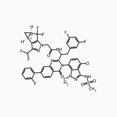 Cn1nc(NS(C)(=O)=O)c2c(Cl)ccc(-n3c(C(Cc4cc(F)cc(F)c4)NC(=O)Cn4nc(C(F)F)c5c4C(F)(F)[C@@H]4C[C@H]54)nc4cc(-c5ccccc5F)ccc4c3=O)c21